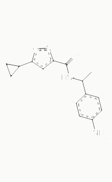 CC(NC(=O)c1cc(C2CC2)on1)c1ccc(N)cc1